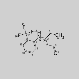 CC[C@@H](CC=O)Nc1ccccc1C(F)(F)F